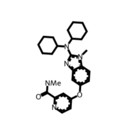 CNC(=O)c1cc(Oc2ccc3c(c2)nc(N(C2CCCCC2)C2CCCCC2)n3C)ccn1